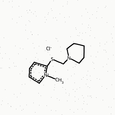 C[n+]1ccccc1SCN1CCCCC1.[Cl-]